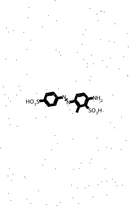 Cc1c(N=Nc2ccc(S(=O)(=O)O)cc2)ccc(N)c1S(=O)(=O)O